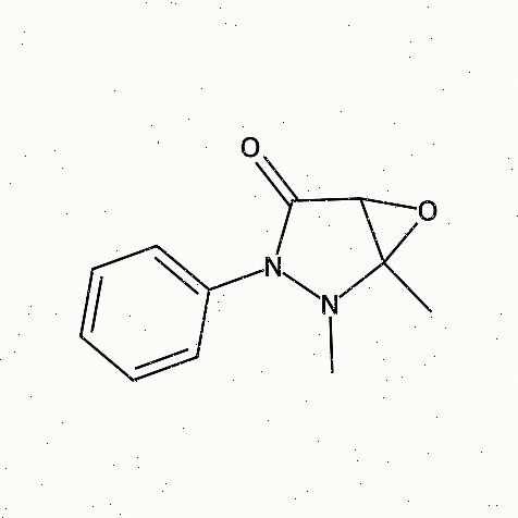 CN1N(c2ccccc2)C(=O)C2OC21C